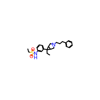 CCC1(c2cccc(NS(=O)(=O)CC)c2)C2CN(CCCc3ccccc3)CC21